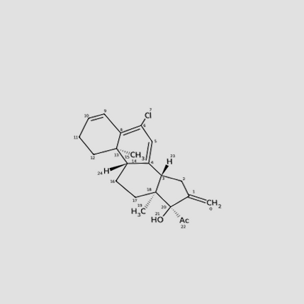 C=C1C[C@H]2C3=CC(Cl)=C4C=CCC[C@]4(C)[C@H]3CC[C@]2(C)[C@@]1(O)C(C)=O